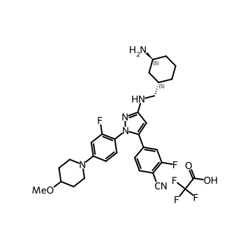 COC1CCN(c2ccc(-n3nc(NC[C@H]4CCC[C@H](N)C4)cc3-c3ccc(C#N)c(F)c3)c(F)c2)CC1.O=C(O)C(F)(F)F